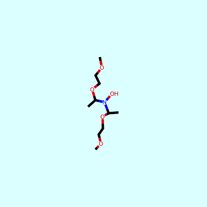 COCCOC(C)N(O)C(C)OCCOC